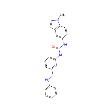 Cn1ccc2cc(NC(=O)Nc3cccc(CNc4ccccc4)c3)ccc21